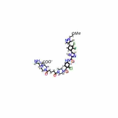 COCCn1ncc(-c2ccc(-c3cnc(C(=O)Nc4ccc(C(=O)N5CCN(C(=O)CCCC(=O)N6CC[N+](CCCN)(CC(=O)[O-])CC6)CC5)c(Cl)c4)n3C)c(F)c2F)c1C